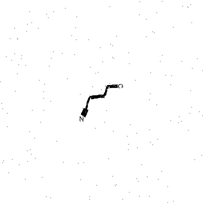 N#CC=C[C]=O